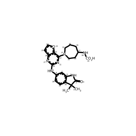 CC1(C)C(=O)Nc2cc(Nc3nc(N4CCCC(NC(=O)O)CC4)c4occc4n3)ccc21